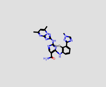 COc1c(Nc2nc(Nc3nc4nc(C)cc(C)n4n3)ncc2C(N)=O)cccc1-c1ncn(C)n1